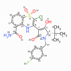 CC(C)(C)[C@H]1C(O)=C(C2=C(Cl)S(=O)(=O)c3c[c]cc(C(N)=O)c3N2)C(=O)N1Cc1ccc(F)cc1